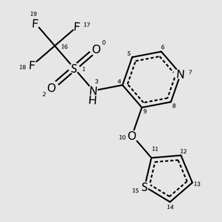 O=S(=O)(Nc1ccncc1Oc1cccs1)C(F)(F)F